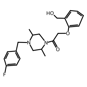 CC1CN(C(=O)COc2ccccc2CO)C(C)CN1Cc1ccc(F)cc1